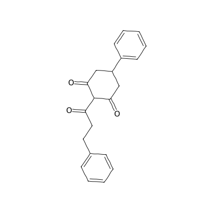 O=C(CCc1ccccc1)C1C(=O)CC(c2ccccc2)CC1=O